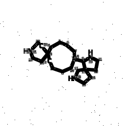 C1CCC2(CCCCN(C3NCCC34CCNC4)C1)CCNCC2